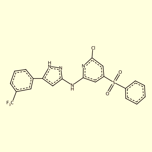 O=S(=O)(c1ccccc1)c1cc(Cl)nc(Nc2cc(-c3cccc(C(F)(F)F)c3)[nH]n2)c1